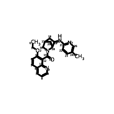 CCOc1ccc2cccnc2c1C(=O)N1CC2CC(Nc3ccc(C)cn3)C1C2